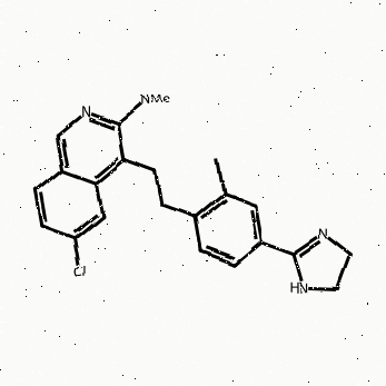 CNc1ncc2ccc(Cl)cc2c1CCc1ccc(C2=NCCN2)cc1C